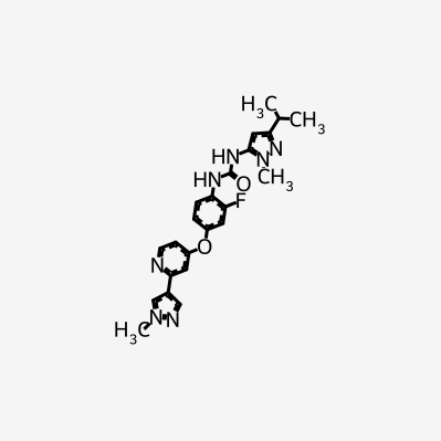 CC(C)c1cc(NC(=O)Nc2ccc(Oc3ccnc(-c4cnn(C)c4)c3)cc2F)n(C)n1